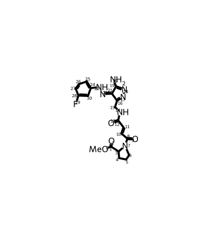 COC(=O)C1CCCN1C(=O)/C=C/C(=O)NCC1=NN=C(N)/C1=N\Nc1cccc(F)c1